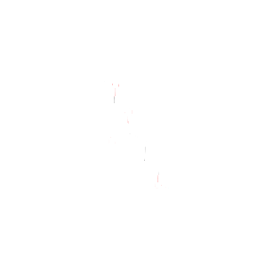 O=C(CCc1ccco1)OC1CCCO1